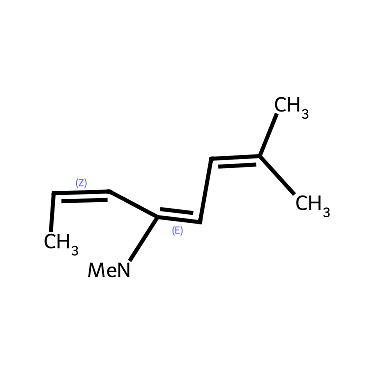 C/C=C\C(=C/C=C(C)C)NC